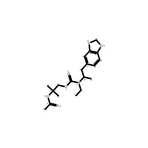 CCN(C(=O)OCC(C)(C)OC(C)=O)C(C)Cc1ccc2c(c1)OCO2